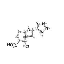 O=C(O)c1ccc2nc(-c3nnn[nH]3)cn2c1Cl